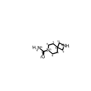 NC(=O)N1CCC2(CC1)CNC2